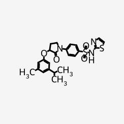 Cc1cc(OC2CCN(c3ccc(S(=O)(=O)Nc4nccs4)cc3)C2=O)cc(C(C)C)c1